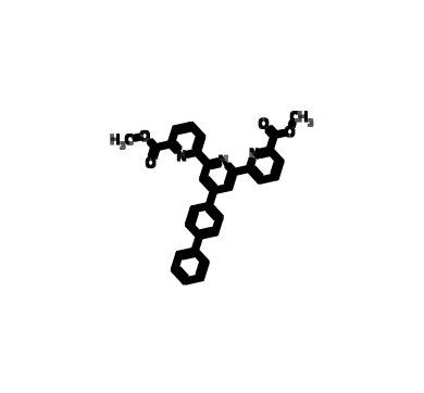 COC(=O)c1cccc(-c2cc(-c3ccc(-c4ccccc4)cc3)cc(-c3cccc(C(=O)OC)n3)n2)n1